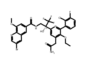 CCOc1c(CC(N)=O)cc([C@@](O)(CNC(=O)c2cc(OC)c3ncc(Br)cc3c2)C(F)(F)F)nc1-c1cccc(F)c1Cl